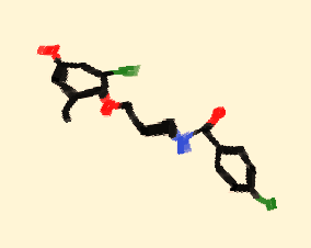 Cc1cc(O)cc(Cl)c1OCCCNC(=O)c1ccc(Cl)cc1